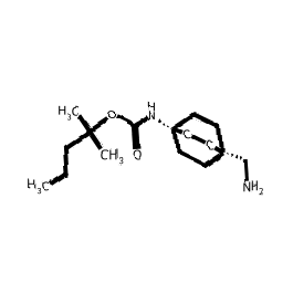 CCCC(C)(C)OC(=O)N[C@]12CC[C@](CN)(CC1)CC2